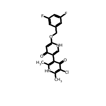 Cc1[nH]c(C)c(-c2c[nH]c(OCc3cc(F)cc(F)c3)cc2=O)c(=O)c1Cl